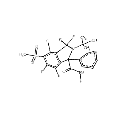 CC(C)(O)N1C(F)(F)c2c(F)c(S(C)(=O)=O)c(F)c(F)c2C1(C(=O)NF)c1ccccc1